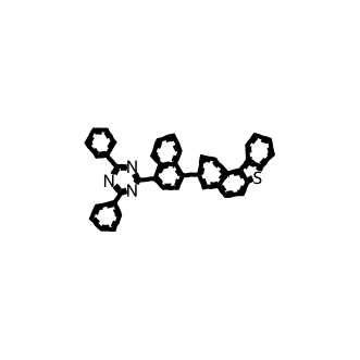 c1ccc(-c2nc(-c3ccccc3)nc(-c3ccc(-c4ccc5c(ccc6sc7ccccc7c65)c4)c4ccccc34)n2)cc1